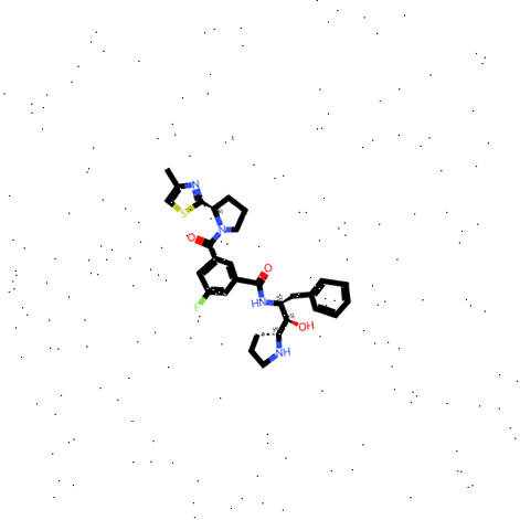 Cc1csc([C@H]2CCCN2C(=O)c2cc(F)cc(C(=O)N[C@@H](Cc3ccccc3)[C@@H](O)[C@H]3CCCN3)c2)n1